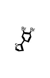 Brc1ccc(-c2c[c]cs2)cc1Br